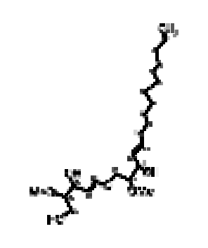 C=CCCCCCCCCC/C=C/C(O)C(CO/C=C/C(O)C(CO)OC)OC